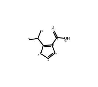 CC(C)c1sccc1C(=O)O